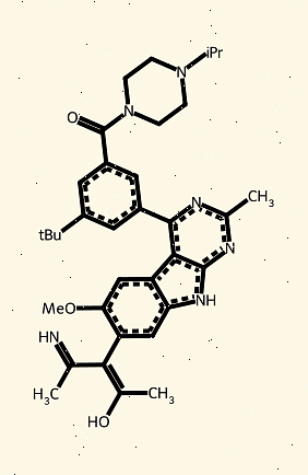 COc1cc2c(cc1/C(C(C)=N)=C(\C)O)[nH]c1nc(C)nc(-c3cc(C(=O)N4CCN(C(C)C)CC4)cc(C(C)(C)C)c3)c12